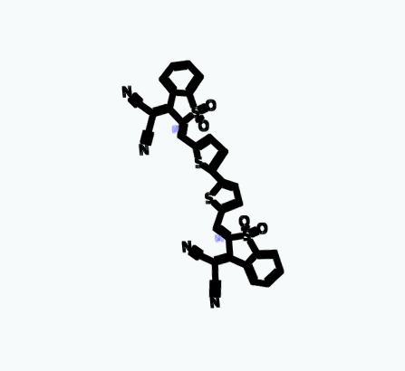 N#CC(C#N)=C1/C(=C/c2ccc(-c3ccc(/C=C4/C(=C(C#N)C#N)c5ccccc5S4(=O)=O)s3)s2)S(=O)(=O)c2ccccc21